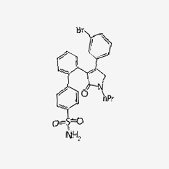 CCCN1CC(c2cccc(Br)c2)=C(c2ccccc2-c2ccc(S(N)(=O)=O)cc2)C1=O